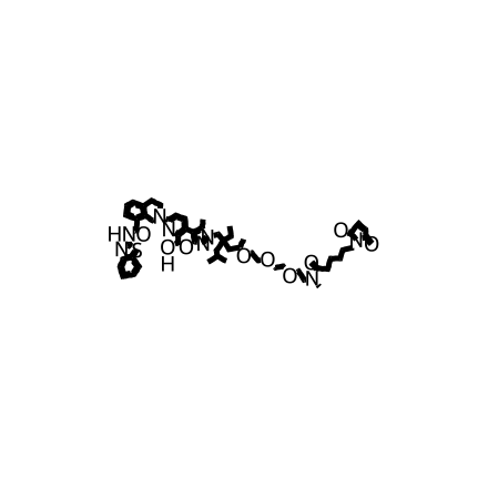 CCC(CC(C)C)(CC(C)OCCOCCOCCN(C)C(=O)CCCCCN1C(=O)C=CC1=O)Cn1ncc(-c2ccc(N3CCc4cccc(C(=O)Nc5nc6ccccc6s5)c4C3)nc2C(=O)O)c1C